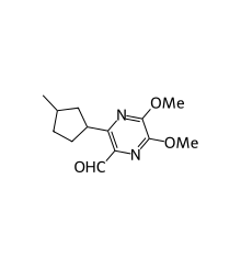 COc1nc(C=O)c(C2CCC(C)C2)nc1OC